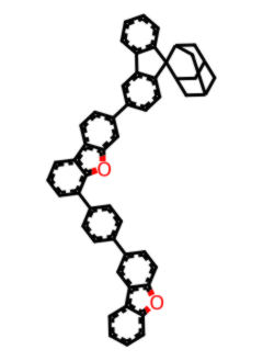 c1ccc2c(c1)-c1cc(-c3ccc4c(c3)oc3c(-c5ccc(-c6ccc7oc8ccccc8c7c6)cc5)cccc34)ccc1C21C2CC3CC(C2)CC1C3